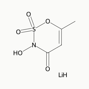 CC1=CC(=O)N(O)S(=O)(=O)O1.[LiH]